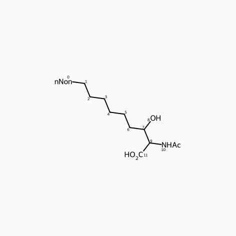 CCCCCCCCCCCCCCCC(O)C(NC(C)=O)C(=O)O